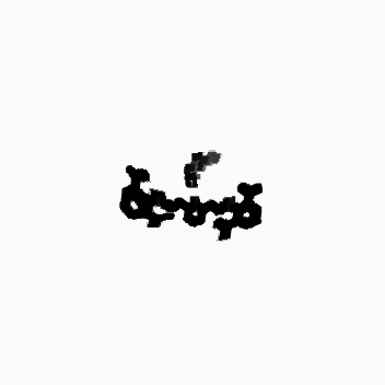 CC(C)c1cccc(C(C)C)c1N=CCc1cccc(CC=Nc2c(C(C)C)cccc2C(C)C)n1.[Cl-].[Cl-].[Fe+2]